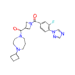 O=C(c1ccc(-n2cncn2)c(F)c1)N1CC(C(=O)N2CCCN(C3CCC3)CC2)C1